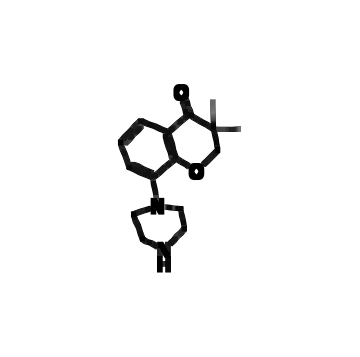 CC1(C)COc2c(cccc2N2CCNCC2)C1=O